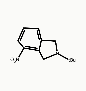 CC(C)(C)N1Cc2cccc([N+](=O)[O-])c2C1